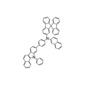 c1ccc(-n2c3cc(-c4ccc(N(c5ccc6c(c5)C5(c7ccccc7-c7ccccc75)c5ccccc5-6)c5ccc6ccccc6c5)cc4)ccc3c3ccc4ccccc4c32)cc1